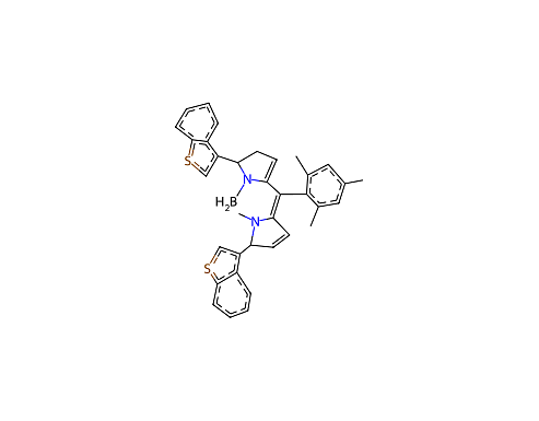 BN1C(/C(=C2/C=CC(c3csc4ccccc34)N2C)c2c(C)cc(C)cc2C)=CCC1c1csc2ccccc12